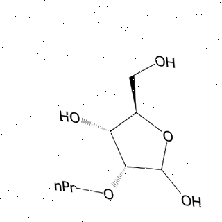 CCCO[C@H]1C(O)O[C@H](CO)[C@H]1O